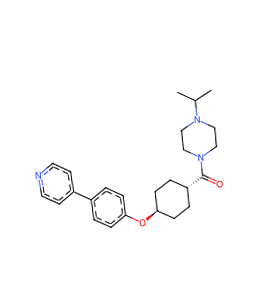 CC(C)N1CCN(C(=O)[C@H]2CC[C@H](Oc3ccc(-c4ccncc4)cc3)CC2)CC1